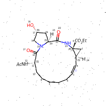 CCOC(=O)[C@@]12C[C@H]1/C=C\CCCCC[C@H](NC(C)=O)C(=O)N1C[C@H](O)C[C@H]1C(=O)N2